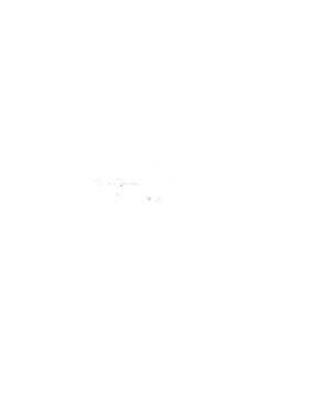 CC=Cc1ccc([Si](C)(C)Cl)cc1